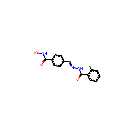 O=C(NO)c1ccc(/C=N/NC(=O)c2ccccc2F)cc1